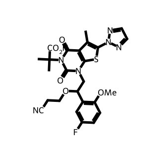 COc1ccc(F)cc1C(Cn1c(=O)n(C(C)(C)C(=O)O)c(=O)c2c(C)c(-n3nccn3)sc21)OCCC#N